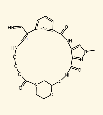 Cn1cc2c(n1)C(=O)NCC1CN(CCO1)C(=O)OCCN/C=C(\C=N)c1cccc(n1)C(=O)N2